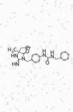 CC(C)CC1(C)NC(=N)N(Cc2ccc(NC(=O)NCc3ccccc3)cc2)C1=O